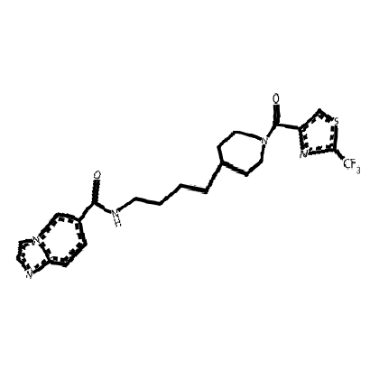 O=C(NCCCCC1CCN(C(=O)c2csc(C(F)(F)F)n2)CC1)c1ccc2nccn2c1